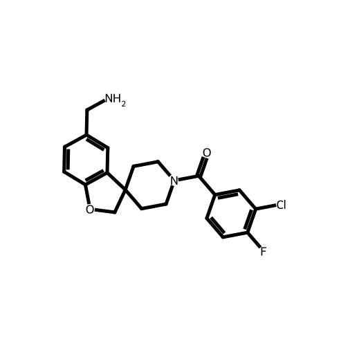 NCc1ccc2c(c1)C1(CCN(C(=O)c3ccc(F)c(Cl)c3)CC1)CO2